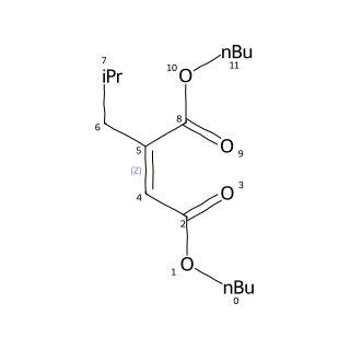 CCCCOC(=O)/C=C(/CC(C)C)C(=O)OCCCC